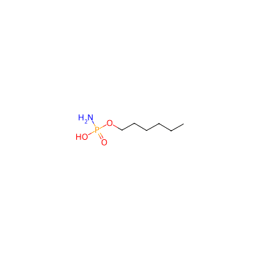 CCCCCCOP(N)(=O)O